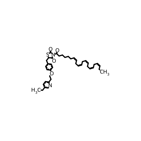 CC/C=C\C/C=C\C/C=C\C/C=C\C/C=C\CCCCCC(=O)N1C(=O)SC(Cc2ccc(OCCc3ccc(CC)cn3)cc2)C1=O